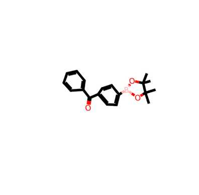 CC1(C)OB(c2ccc(C(=O)c3ccccc3)cc2)OC1(C)C